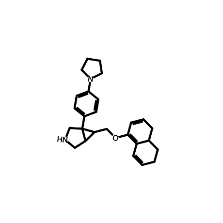 C1=CC2=C(OCC3C4CNCC43c3ccc(N4CCCC4)cc3)C=CCC2CC1